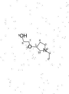 CCN1CCC(OCCO)C1